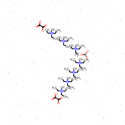 CC[N+](C)(CC)CC.CC[N+](C)(CC)CC.CC[N+](C)(CC)CC.CC[N+](C)(CC)CC.CC[N+](C)(CC)CC.CC[N+](C)(CC)CC.CC[N+](C)(CC)CC.O=C([O-])C(=O)[O-].O=C([O-])C(=O)[O-].[O-]B([O-])[O-]